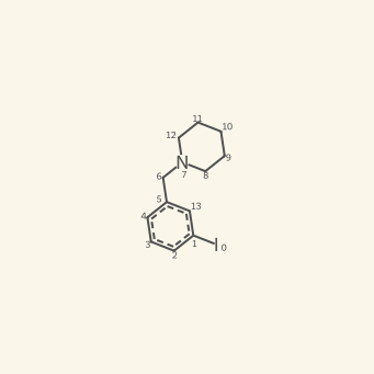 Ic1cccc(CN2CCCCC2)c1